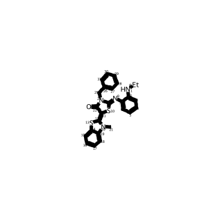 CCNc1ccccc1N=C1SC(=C2Sc3ccccc3N2C)C(=O)N1Cc1ccccc1